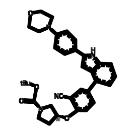 CC(C)(C)OC(=O)N1CC[C@H](Oc2ccc(-c3cccc4[nH]c(-c5ccc(N6CCOCC6)cc5)cc34)cc2C#N)C1